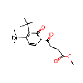 COC(=O)CCC(=O)C1C=CC([SiH](C)C)=C(C(C)(C)C)C1=O